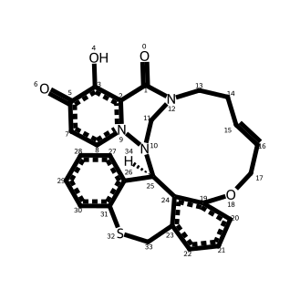 O=C1c2c(O)c(=O)ccn2N2CN1CC/C=C/COc1cccc3c1[C@H]2c1ccccc1SC3